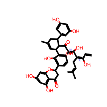 C=C/C(O)=C(CC=C(C)C)\C(O)=C(/C)C(=O)C1C(c2c(O)ccc(C3CC(=O)c4c(O)cc(O)cc4O3)c2O)C=C(C)CC1c1cc(O)cc(O)c1